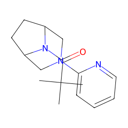 CC(C)(C)C(=O)N1C2CCC1CN(c1ccccn1)C2